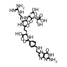 N=C(N)NCCC[C@@H](NC(=O)CC[C@@H](NC(=O)c1ccc(NCc2cnc3nc(N)[nH]c(=O)c3n2)cc1)C(=O)O)C(=O)N[C@H](CC(=O)O)C(=O)N[C@H](CS)C(=O)O